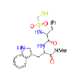 CNC(=O)C(Cc1c[nH]c2ccccc12)NC(=O)C(CC(C)C)NS(=O)(=O)CS